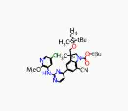 COc1ncc(Cl)cc1Nc1nccc(-c2cc(C#N)c3c(c2)[C@](C)(CO[Si](C)(C)C(C)(C)C)CN3C(=O)OC(C)(C)C)n1